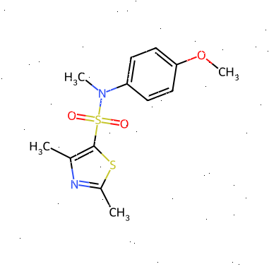 COc1ccc(N(C)S(=O)(=O)c2sc(C)nc2C)cc1